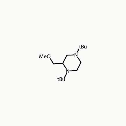 COCC1CN(C(C)(C)C)CCN1C(C)(C)C